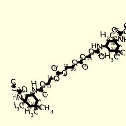 COC(=O)NC1(C)CC(NC(=O)OCCOC(=O)OCCOC(=O)OCOC(=O)NC2CC(C)(C)CC(C)(NC(=O)OC)C2)CC(C)(C)C1